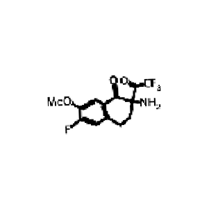 COc1cc2c(cc1F)CCC(N)(C(=O)C(F)(F)F)C2=O